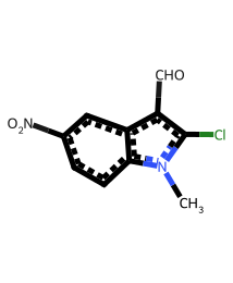 Cn1c(Cl)c(C=O)c2cc([N+](=O)[O-])ccc21